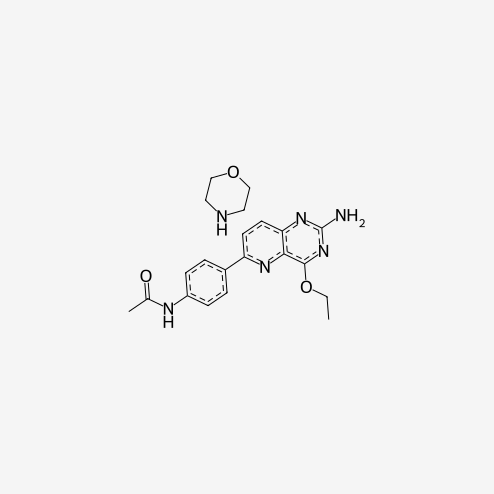 C1COCCN1.CCOc1nc(N)nc2ccc(-c3ccc(NC(C)=O)cc3)nc12